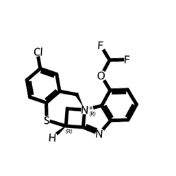 FC(F)Oc1cccc2c1[N@@+]13Cc4cc(Cl)ccc4S[C@H](C1)C3=N2